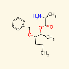 C=CC[C@@H](OCc1ccccc1)[C@H](C)OC(=O)[C@H](C)N